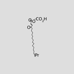 CC(C)CCCCCCCCCCCCCCC(=O)C=CC(=O)OCC(=O)O